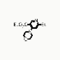 CCOC(=O)c1cnc(CC)cc1N1CCOCC1